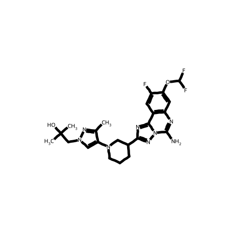 Cc1nn(CC(C)(C)O)cc1N1CCCC(c2nc3c4cc(F)c(OC(F)F)cc4nc(N)n3n2)C1